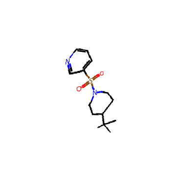 CC(C)(C)C1CCN(S(=O)(=O)c2cccnc2)CC1